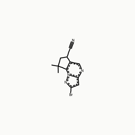 CC1(C)CC(C#N)c2cnc3cc(Br)nn3c21